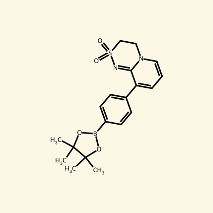 CC1(C)OB(c2ccc(C3=CC=CN4CCS(=O)(=O)N=C34)cc2)OC1(C)C